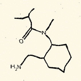 CC(C)C(=O)N(C)C1CCCCC1CN